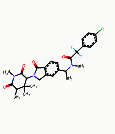 BC(c1ccc2c(c1)CN(C1C(=O)N(B)C(=O)C(B)C1(B)B)C2=O)N(B)C(=O)C(F)(F)c1ccc(Cl)cc1